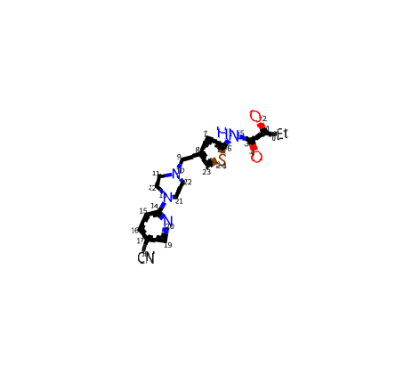 CCC(=O)C(=O)Nc1cc(CN2CCN(c3ccc(C#N)cn3)CC2)cs1